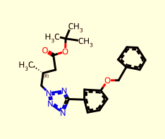 C[C@H](CC(=O)OC(C)(C)C)Cn1nnc(-c2cccc(OCc3ccccc3)c2)n1